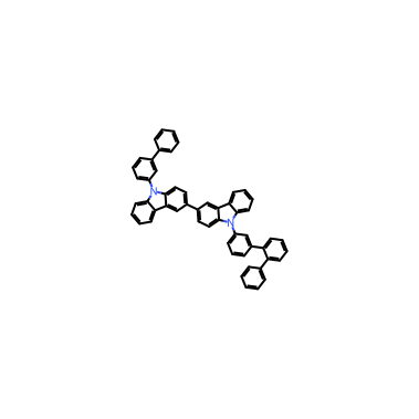 c1ccc(-c2cccc(-n3c4ccccc4c4cc(-c5ccc6c(c5)c5ccccc5n6-c5cccc(-c6ccccc6-c6ccccc6)c5)ccc43)c2)cc1